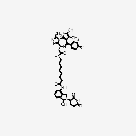 Cc1sc2c(c1C)C(c1ccc(Cl)cc1)=N[C@@H](CC(=O)NCCCCCCCC(=O)Nc1cccc3c1CN(C1CCC(=O)NC1=O)C3O)c1nnc(C)n1-2